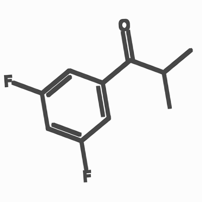 CC(C)C(=O)c1cc(F)cc(F)c1